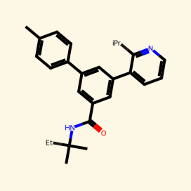 CCC(C)(C)NC(=O)c1cc(-c2ccc(C)cc2)cc(-c2cccnc2C(C)C)c1